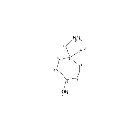 NCC1(F)CCC(O)CC1